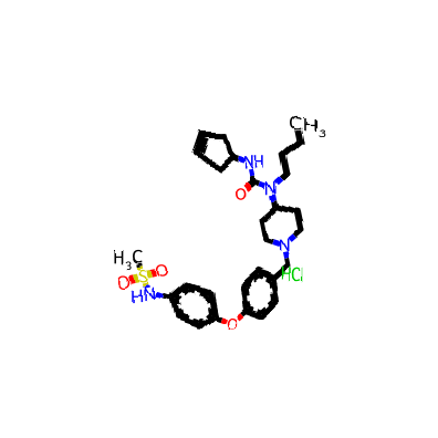 CCCCN(C(=O)NC1CC=CC1)C1CCN(Cc2ccc(Oc3ccc(NS(C)(=O)=O)cc3)cc2)CC1.Cl